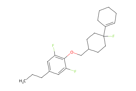 CCCc1cc(F)c(OCC2CCC(F)(C3=CCCCC3)CC2)c(F)c1